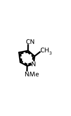 CNc1ccc(C#N)c(C)n1